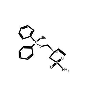 C=C[C@H](CO[Si](c1ccccc1)(c1ccccc1)C(C)(C)C)CS(N)(=O)=O